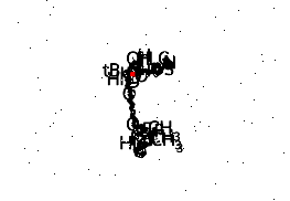 Cc1ncsc1-c1ccc(CNC(=O)[C@@H]2C[C@@H](O)CN2C(=O)C(NC(=O)CCOCCCCCCCOc2cc(F)c([C@@H]3c4[nH]c5ccccc5c4C[C@@H](C)N3CC(C)(C)F)c(F)c2)C(C)(C)C)cc1